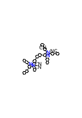 N#Cc1ccccc1-c1ccc(-c2nc(-c3ccc(-c4ccccc4C#N)cc3)c3cc(-c4ccc5ccc(-c6ccc(-c7nc(-c8ccccc8C#N)c8cc(-c9ccc%10ccccc%10c9)cc(-c9ccc%10ccccc%10c9)c8n7)c(C#N)c6)cc5c4)cc(-c4ccc5ccccc5c4)c3n2)cc1